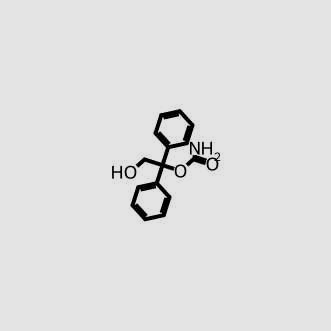 NC(=O)OC(CO)(c1ccccc1)c1ccccc1